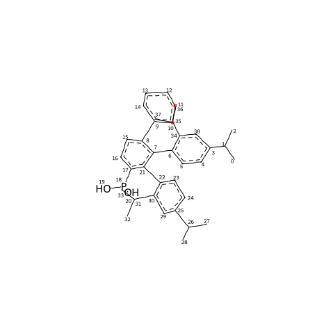 CC(C)c1ccc(-c2c(-c3ccccc3)ccc(P(O)O)c2-c2ccc(C(C)C)cc2C(C)C)c(C(C)C)c1